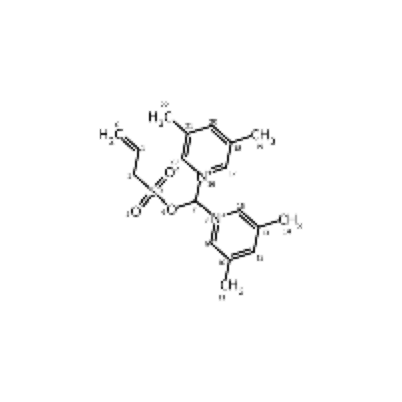 C=CCS(=O)(=O)OC([n+]1cc(C)cc(C)c1)[n+]1cc(C)cc(C)c1